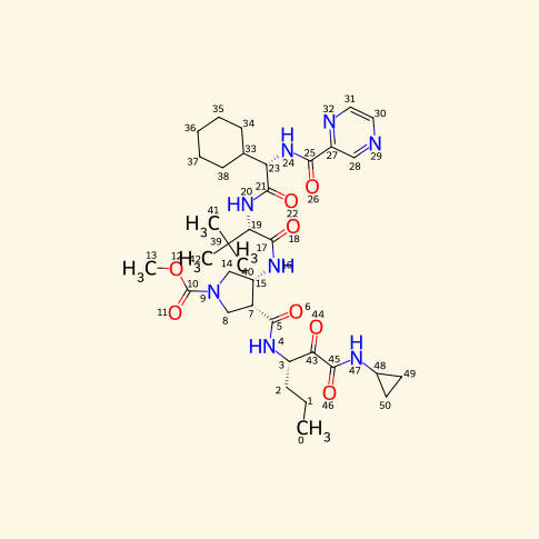 CCC[C@H](NC(=O)[C@@H]1CN(C(=O)OC)C[C@@H]1NC(=O)[C@@H](NC(=O)[C@@H](NC(=O)c1cnccn1)C1CCCCC1)C(C)(C)C)C(=O)C(=O)NC1CC1